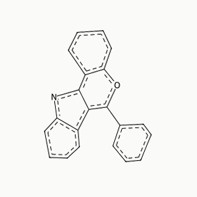 c1ccc(-c2oc3ccccc3c3nc4ccccc4c2-3)cc1